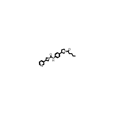 CCCCC(=O)N1CCC(c2ccc(NC(=O)N3CC(c4cccnc4)C3)cc2)C1